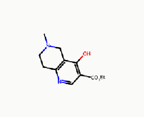 CCOC(=O)c1cnc2c(c1O)CN(C)CC2